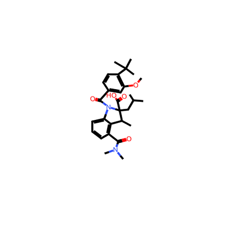 COc1cc(C(=O)N2c3cccc(C(=O)N(C)C)c3C(C)C2(CC(C)C)C(=O)O)ccc1C(C)(C)C